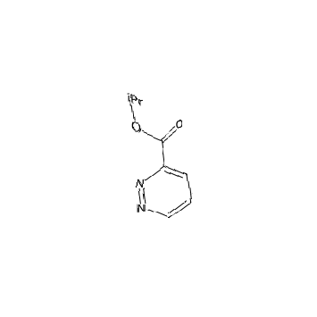 CC(C)OC(=O)c1cccnn1